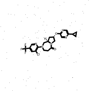 O=C1CCN(c2ncc(C(F)(F)F)cc2Cl)C[C@H]2C[C@H](Oc3cnc(C4CC4)cn3)CN12